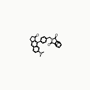 CN(C)c1ccc2cc3c(c(-c4ccc(CN5C(=O)c6c(c7ccc6o7)C5=O)cc4)c2c1)C(=O)CC3